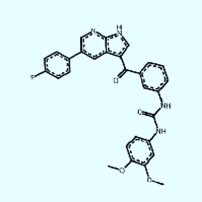 COc1ccc(NC(=O)Nc2cccc(C(=O)c3c[nH]c4ncc(-c5ccc(F)cc5)cc34)c2)cc1OC